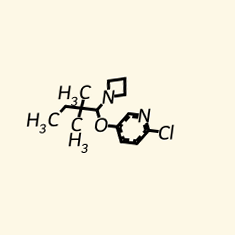 CCC(C)(C)C(Oc1ccc(Cl)nc1)N1CCC1